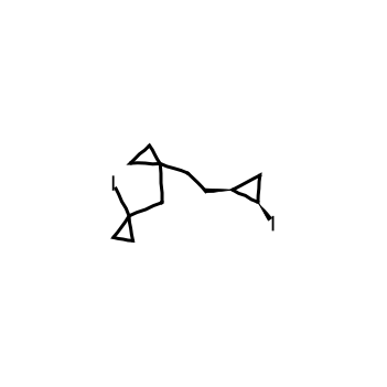 I[C@@H]1C[C@@H]1CCC1(CC2(I)CC2)CC1